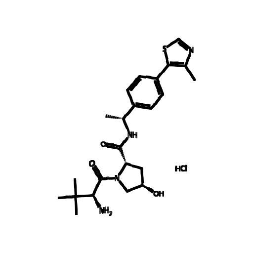 Cc1ncsc1-c1ccc([C@@H](C)NC(=O)[C@@H]2C[C@@H](O)CN2C(=O)[C@@H](N)C(C)(C)C)cc1.Cl